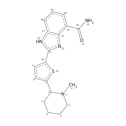 CN1CCCCC1c1ccc(-c2nc3c(C(N)=O)cccc3[nH]2)s1